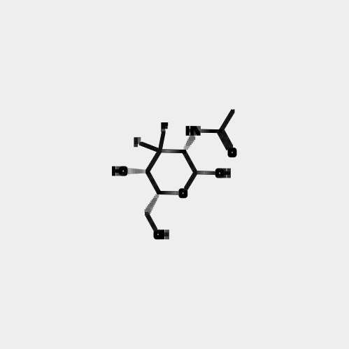 CC(=O)N[C@@H]1C(O)O[C@H](CO)[C@H](O)C1(F)F